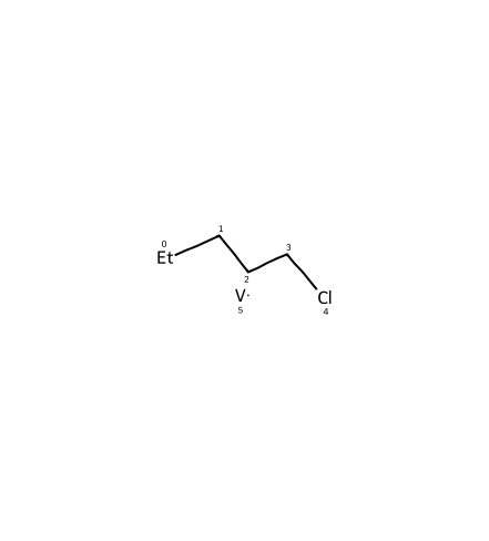 CCCCCCl.[V]